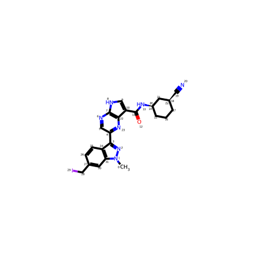 Cn1nc(-c2cnc3[nH]cc(C(=O)N[C@@H]4CCC[C@H](C#N)C4)c3n2)c2ccc(CI)cc21